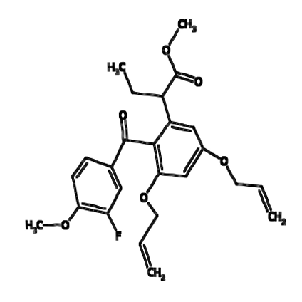 C=CCOc1cc(OCC=C)c(C(=O)c2ccc(OC)c(F)c2)c(C(CC)C(=O)OC)c1